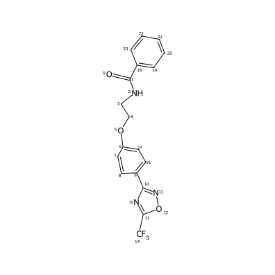 O=C(NCCOc1ccc(-c2noc(C(F)(F)F)n2)cc1)c1ccccc1